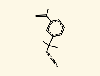 C=C(C)c1cccc(C(C)(C)[N+]=C=O)c1